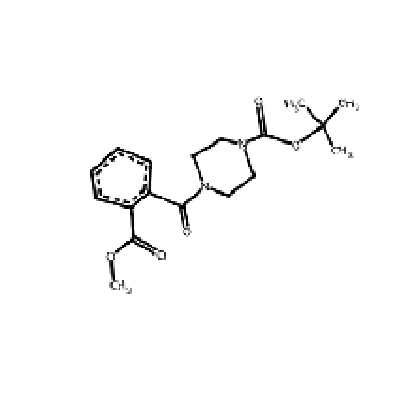 COC(=O)c1ccccc1C(=O)N1CCN(C(=O)OC(C)(C)C)CC1